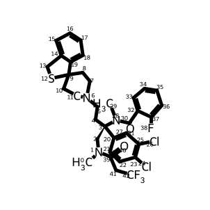 CN(C[C@](CCN1CCC2(CC1)SCc1ccccc12)(c1ccc(Cl)c(Cl)c1)N(C)C(=O)c1ccccc1F)C(=O)CC(F)(F)F